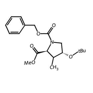 COC(=O)[C@@H]1C(C)[C@@H](OC(C)(C)C)CN1C(=O)OCc1ccccc1